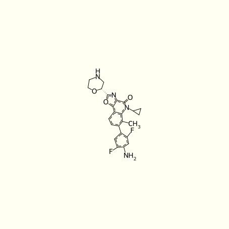 Cc1c(-c2cc(F)c(N)cc2F)ccc2c3oc([C@H]4CNCCO4)nc3c(=O)n(C3CC3)c12